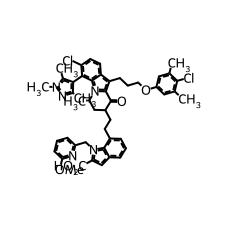 COc1cccc(Cn2c(C(=O)O)cc3cccc(CCC4C[C@@H](C)n5c(c(CCCOc6cc(C)c(Cl)c(C)c6)c6ccc(Cl)c(-c7c(C)nn(C)c7C)c65)C4=O)c32)n1